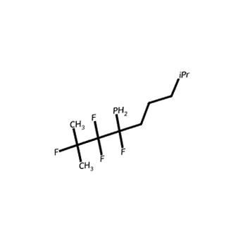 CC(C)CCCC(F)(P)C(F)(F)C(C)(C)F